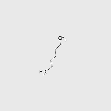 C[CH]CCC=CC